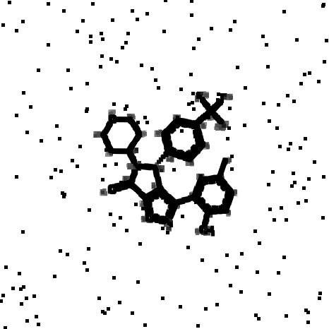 Cc1ccc(O)c(-c2noc3c2[C@@H](c2ccc(C(F)(F)F)cc2)N(C2CCOCC2)C3=O)c1